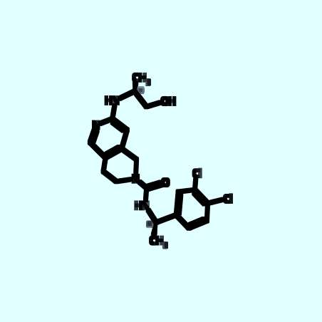 C[C@@H](CO)Nc1cc2c(cn1)CCN(C(=O)N[C@H](C)c1ccc(Cl)c(Cl)c1)C2